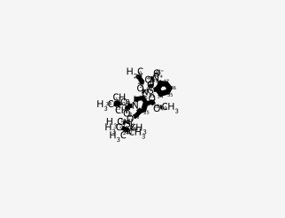 C=CCON([C@@H]1CN(C(=O)OC(C)(C)C)C(CO[Si](C)(C)C(C)(C)C)C=C1COC)S(=O)(=O)c1ccccc1[N+](=O)[O-]